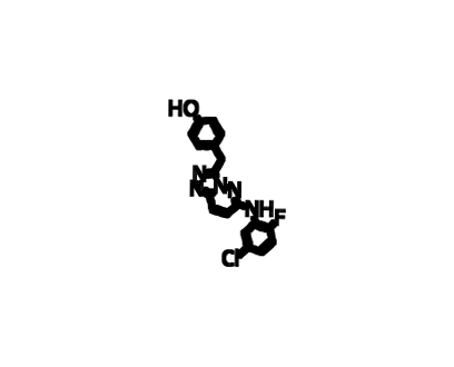 Oc1ccc(Cc2nnc3ccc(Nc4cc(Cl)ccc4F)nn23)cc1